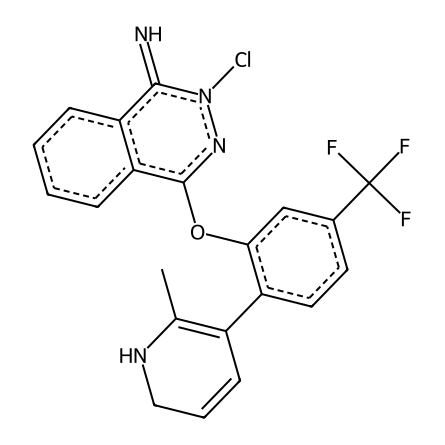 CC1=C(c2ccc(C(F)(F)F)cc2Oc2nn(Cl)c(=N)c3ccccc23)C=CCN1